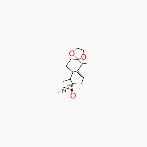 CC1C2=CC[C@@]3(C)C(=O)[C@H](C)CC3C2CCC12OCCO2